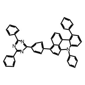 c1ccc(-c2nc(-c3ccccc3)nc(-c3ccc(-c4ccc5c6c(cccc46)-c4c(-c6ccccc6)cccc4N5c4ccccc4)cc3)n2)cc1